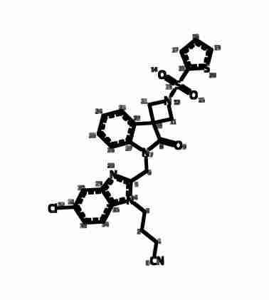 N#CCCCn1c(CN2C(=O)C3(CN(S(=O)(=O)c4cccs4)C3)c3ccccc32)nc2cc(Cl)ccc21